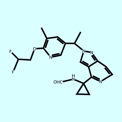 Cc1cc(C(C)n2cc3c(C4(NC=O)CC4)nccc3n2)cnc1OCC(F)F